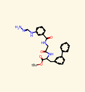 CC(C)(C)OC(=O)C(Cc1cccc(-c2ccccc2)c1)NC(=O)CNC(=O)c1cccc(NC=NN)c1